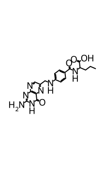 CCCC(NC(=O)c1ccc(NCc2cnc3nc(N)[nH]c(=O)c3n2)cc1)C(=O)O